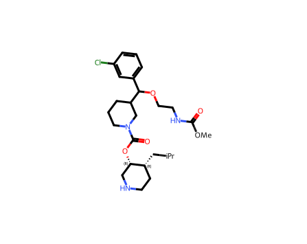 COC(=O)NCCOC(c1cccc(Cl)c1)C1CCCN(C(=O)O[C@H]2CNCC[C@H]2CC(C)C)C1